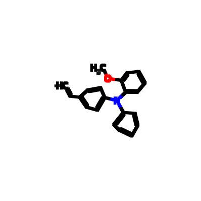 [CH]=Cc1ccc(N(c2ccccc2)c2ccccc2OC)cc1